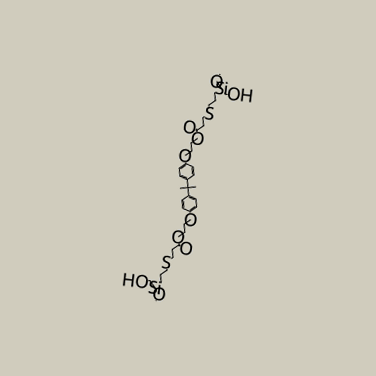 CO[Si](C)(CO)CCCSCCC(=O)OCCOc1ccc(C(C)(C)c2ccc(OCCOC(=O)CCSCCC[Si](C)(CO)OC)cc2)cc1